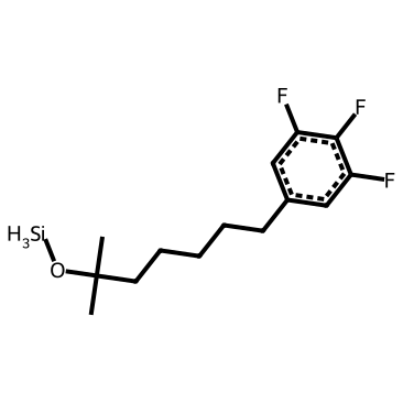 CC(C)(CCCCCc1cc(F)c(F)c(F)c1)O[SiH3]